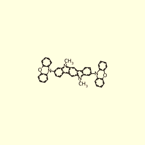 Cn1c2cc(N3c4ccccc4Oc4ccccc43)ccc2c2cc3c(cc21)c1ccc(N2c4ccccc4Oc4ccccc42)cc1n3C